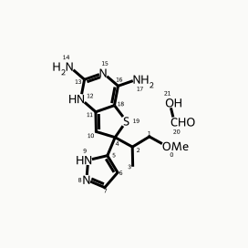 COCC(C)C1(c2ccn[nH]2)C=C2NC(N)=NC(N)=C2S1.O=CO